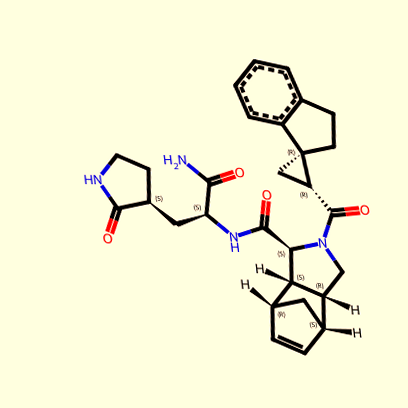 NC(=O)[C@H](C[C@@H]1CCNC1=O)NC(=O)[C@@H]1[C@@H]2[C@H](CN1C(=O)[C@@H]1C[C@]13CCc1ccccc13)[C@@H]1C=C[C@H]2C1